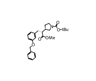 COC(=O)[C@H](Cc1cccc(OCc2ccccc2)c1)[C@H]1CCN(C(=O)OC(C)(C)C)C1